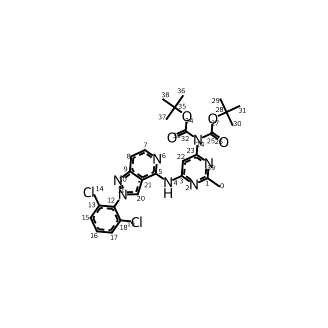 Cc1nc(Nc2nccc3nn(-c4c(Cl)cccc4Cl)cc23)cc(N(C(=O)OC(C)(C)C)C(=O)OC(C)(C)C)n1